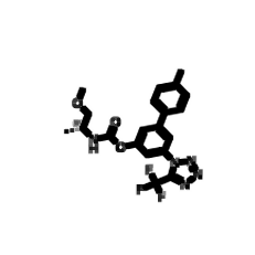 COC[C@@H](C)NC(=O)Oc1cc(-c2ccc(C)cc2)cc(-n2nnnc2C(F)(F)F)c1